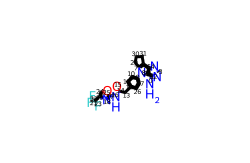 Nc1ncnc2c3c(n(-c4ccc(CC(=O)Nc5nc(C(F)(F)F)co5)cc4)c12)CCC3